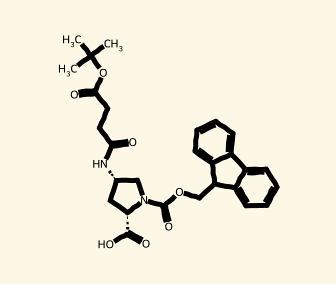 CC(C)(C)OC(=O)CCC(=O)N[C@H]1C[C@@H](C(=O)O)N(C(=O)OCC2c3ccccc3-c3ccccc32)C1